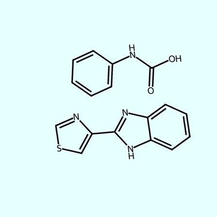 O=C(O)Nc1ccccc1.c1ccc2[nH]c(-c3cscn3)nc2c1